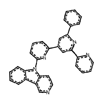 c1ccc(-c2cc(-c3cccc(-n4c5ccccc5c5cnccc54)n3)cc(-c3ccccn3)n2)cc1